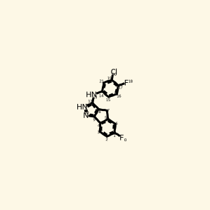 Fc1ccc2c(c1)Cc1c-2n[nH]c1Nc1ccc(F)c(Cl)c1